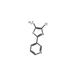 Cc1sc(-c2cccnc2)nc1Cl